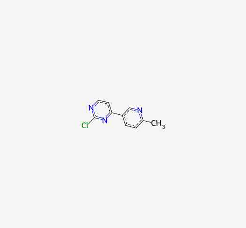 Cc1ccc(-c2ccnc(Cl)n2)cn1